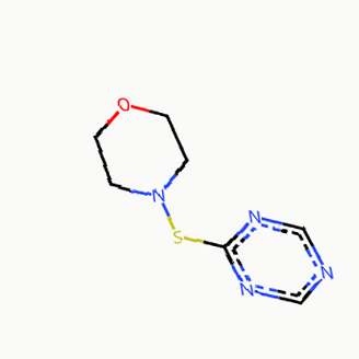 c1ncnc(SN2CCOCC2)n1